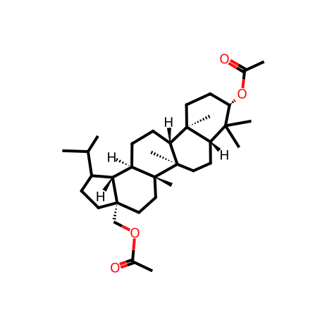 CC(=O)OC[C@]12CCC(C(C)C)[C@@H]1[C@H]1CC[C@@H]3[C@@]4(C)CC[C@H](OC(C)=O)C(C)(C)[C@@H]4CC[C@@]3(C)[C@]1(C)CC2